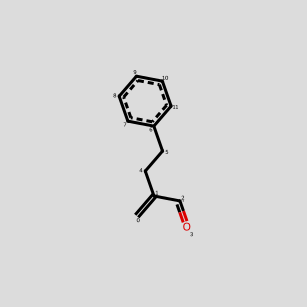 C=C([C]=O)CCc1ccccc1